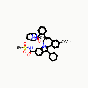 COc1ccc2c(c1)C=C(c1ccccc1C(=O)N1C3CCC1CN(C)C3)Cn1c-2c(C2CCCCC2)c2ccc(C(=O)NS(=O)(=O)C(C)C)cc21